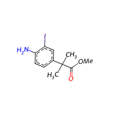 COC(=O)C(C)(C)c1ccc(N)c(I)c1